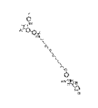 C=Cc1ccc(NC2C[C@H](C)N(C(C)=O)c3ccc(-c4ccc(C(=O)NCCOCCOCCOCCOCCCCCOCCOc5ccc(C(CCC)NC(=O)/C(C#N)=C/c6nc(Cl)ccc6Cl)cc5)cc4)cc32)cc1